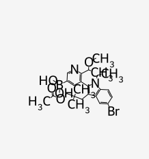 CCn1c(-c2cc(B(O)O)cnc2C(C)OC)c(CC(C)(C)COC(C)=O)c2cc(Br)ccc21